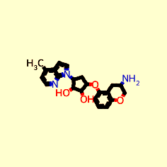 Cc1ccnc2c1ccn2C1CC(Oc2cccc3c2CC(N)CO3)C(O)C1O